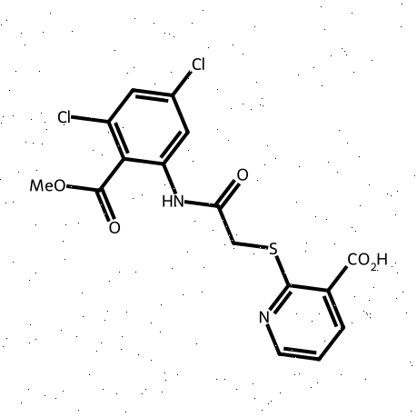 COC(=O)c1c(Cl)cc(Cl)cc1NC(=O)CSc1ncccc1C(=O)O